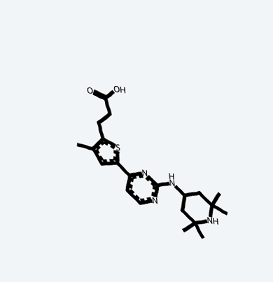 Cc1cc(-c2ccnc(NC3CC(C)(C)NC(C)(C)C3)n2)sc1CCC(=O)O